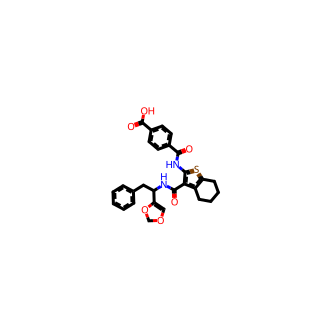 O=C(O)c1ccc(C(=O)Nc2sc3c(c2C(=O)NC(Cc2ccccc2)C2=COCO2)CCCC3)cc1